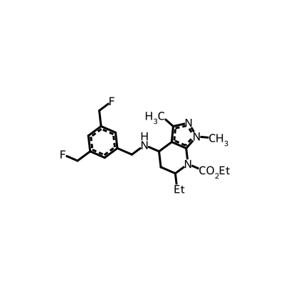 CCOC(=O)N1c2c(c(C)nn2C)C(NCc2cc(CF)cc(CF)c2)CC1CC